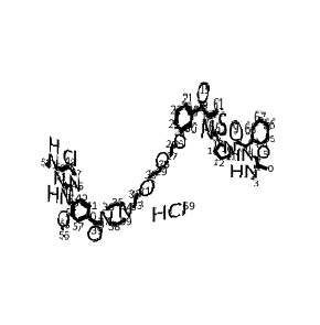 C=C(NC)C(=O)N[C@H](C(=O)N1CCC[C@H]1c1nc(C(=O)c2cccc(OCCOCCOCCN3CCN(C(=O)c4ccc(Nc5ncc(Cl)c(NC)n5)c(OC)c4)CC3)c2)cs1)C1CCCCC1.Cl